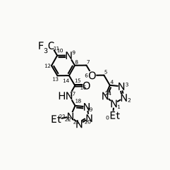 CCn1nnc(COCc2nc(C(F)(F)F)ccc2C(=O)Nc2nnnn2CC)n1